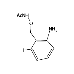 CC(=O)NOCc1c(N)cccc1I